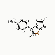 CC1=Cc2c(sc(C)c2-c2ccc(C(C)(C)C)cc2)C1